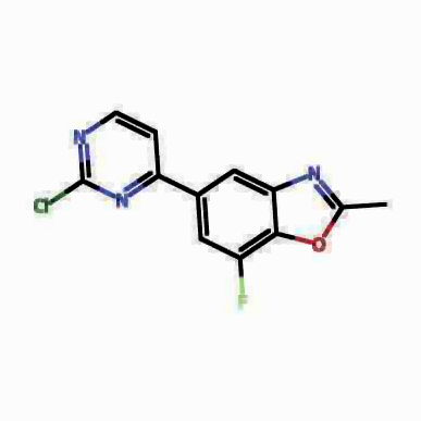 Cc1nc2cc(-c3ccnc(Cl)n3)cc(F)c2o1